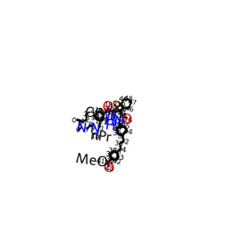 C=C(CCC(=O)OCC)N(C)CCN(CCC)Cc1cccc(C(=O)Nc2sc3c(c2C(=O)Nc2ccc(CCCc4ccc(C(=O)OC)cc4)cc2)CCCC3)c1